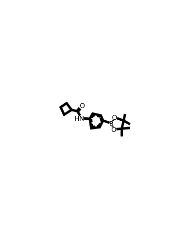 CC1(C)OB(c2ccc(NC(=O)C3CCC3)cc2)OC1(C)C